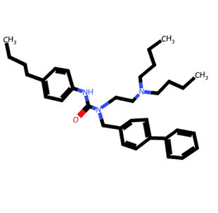 CCCCc1ccc(NC(=O)N(CCN(CCCC)CCCC)Cc2ccc(-c3ccccc3)cc2)cc1